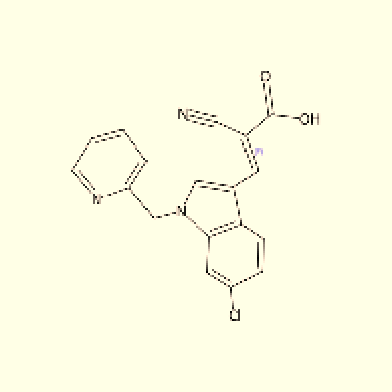 N#C/C(=C\c1cn(Cc2ccccn2)c2cc(Cl)ccc12)C(=O)O